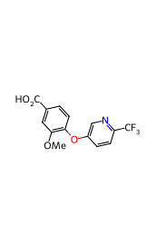 COc1cc(C(=O)O)ccc1Oc1ccc(C(F)(F)F)nc1